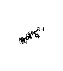 C[C@@H](c1ccc(-c2ccnc(O)n2)cc1)N(CC[C@H](CCCO)c1ccc(F)cc1)C(=O)O